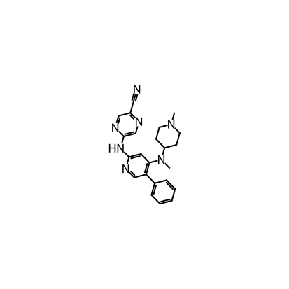 CN1CCC(N(C)c2cc(Nc3cnc(C#N)cn3)ncc2-c2ccccc2)CC1